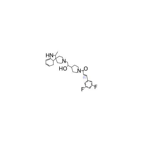 CC1NC2=CC=CCC2C12CCN(CC(O)C1CCN(C(=O)/C=C/c3cc(F)cc(F)c3)CC1)CC2